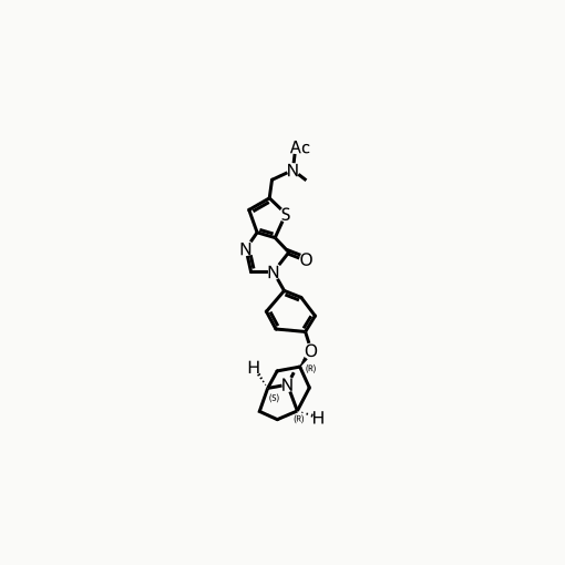 CC(=O)N(C)Cc1cc2ncn(-c3ccc(O[C@H]4C[C@H]5CC[C@@H](C4)N5C)cc3)c(=O)c2s1